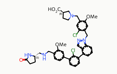 COc1cc(-c2cccc(-c3cccc4c3cnn4Cc3cc(OC)c(CN4CC[C@@H](C(=O)O)C4)cc3Cl)c2Cl)ccc1CNC[C@@H]1CCC(=O)N1